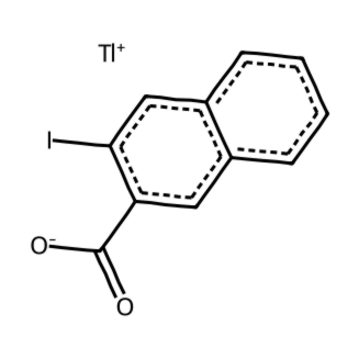 O=C([O-])c1cc2ccccc2cc1I.[Tl+]